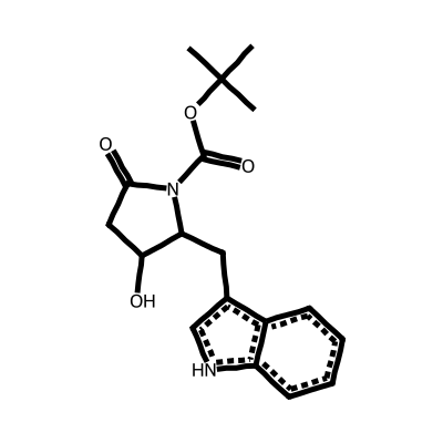 CC(C)(C)OC(=O)N1C(=O)CC(O)C1Cc1c[nH]c2ccccc12